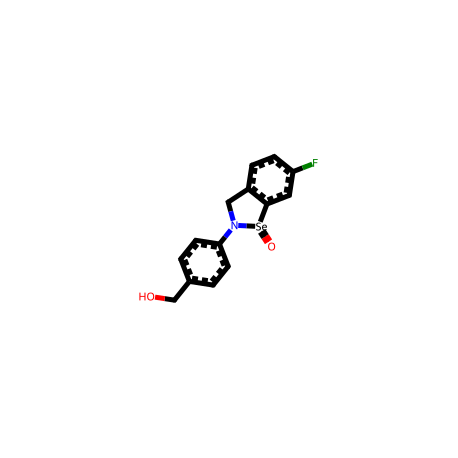 O=[Se]1c2cc(F)ccc2CN1c1ccc(CO)cc1